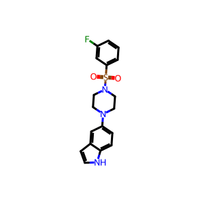 O=S(=O)(c1cccc(F)c1)N1CCN(c2ccc3[nH]ccc3c2)CC1